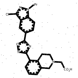 CC(C)n1nc(Cl)c2cc(-c3nc(-c4cccc5c4CCN(CC(=O)O)C5)no3)ccc21